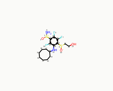 N[S+]([O-])c1c(F)c(F)c([S+]([O-])CCO)c(NC2CCCCCCC2)c1F